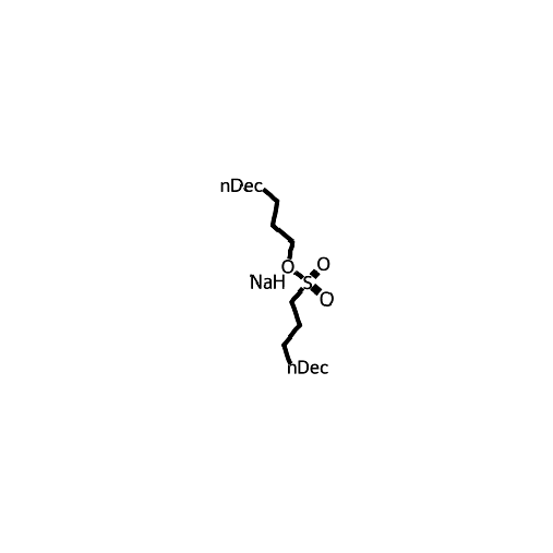 CCCCCCCCCCCCCOS(=O)(=O)CCCCCCCCCCCCC.[NaH]